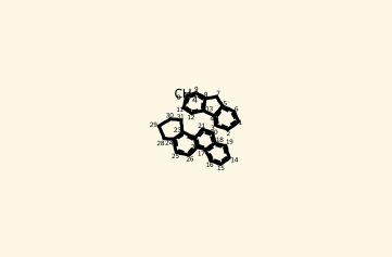 C.c1ccc2c(c1)Cc1ccccc1-2.c1ccc2c(c1)ccc1c3c(ccc12)CCCC3